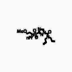 C=CCN(CC=C)C(=O)n1cnc(S(=O)(=O)N(CCC)CCOC)n1